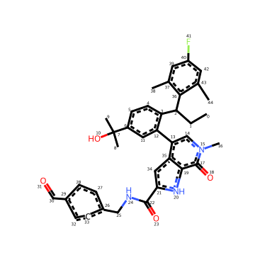 CCC(c1ccc(C(C)(C)O)cc1-c1cn(C)c(=O)c2[nH]c(C(=O)NCc3ccc(C=O)cc3)cc12)c1c(C)cc(F)cc1C